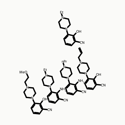 C=CCN1CCN(c2cccc(C#N)c2O)CC1.CCCN1CCN(c2cccc(C#N)c2N)CC1.CCN1CCN(c2cccc(C#N)c2N)CC1.CCN1CCN(c2cccc(C#N)c2O)CC1.COCCN1CCN(c2cccc(C#N)c2O)CC1